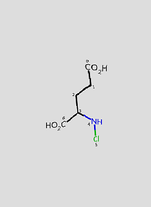 O=C(O)CCC(NCl)C(=O)O